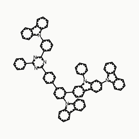 c1ccc(-c2nc(-c3ccc(-c4ccc(-n5c6ccccc6c6ccccc65)c(-c5ccc6c7ccc(-n8c9ccccc9c9ccccc98)cc7n(-c7ccccc7)c6c5)c4)cc3)nc(-c3cccc(-n4c5ccccc5c5ccccc54)c3)n2)cc1